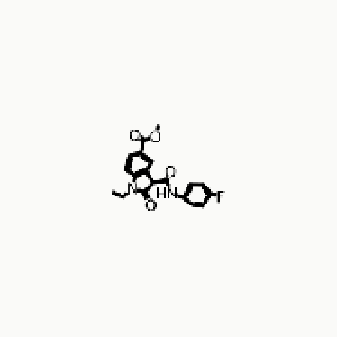 CCN1C(=O)C(C(=O)Nc2ccc(F)cc2)c2cc(C(=O)OC)ccc21